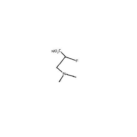 CN(C)CC(F)C(=O)O